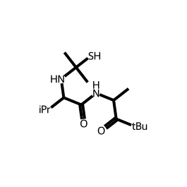 CC(NC(=O)C(NC(C)(C)S)C(C)C)C(=O)C(C)(C)C